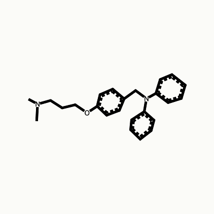 CN(C)CCCOc1ccc(CN(c2ccccc2)c2ccccc2)cc1